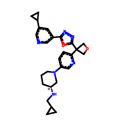 c1ncc(C2CC2)cc1-c1nnc(C2(c3ccc(N4CCC[C@@H](NCC5CC5)C4)cn3)COC2)o1